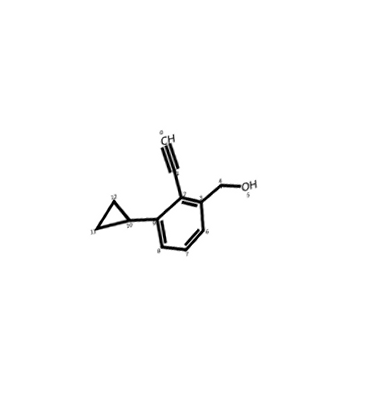 C#Cc1c([CH]O)cccc1C1CC1